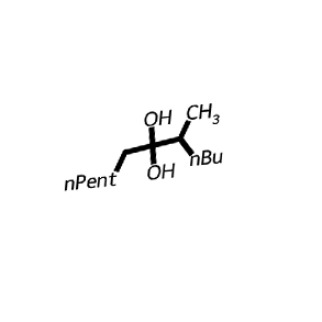 CCCCCCC(O)(O)C(C)CCCC